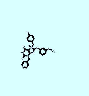 C[N+]1(Cc2ccc(Cl)cc2)C(Oc2cccc(OC(F)(F)F)c2)=Nc2c1c(=O)[nH]c(=O)n2Cc1ccncc1